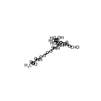 CC1CC(=O)N(CCC(=O)NCCOCCOCCOCCOCCC(=O)NCCC(=O)Nc2cc(COC(=O)NCOCC=O)ccc2O[C@@H]2O[C@H](CO)[C@H](O)[C@H](O)[C@H]2O)C1=O